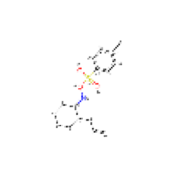 C=CCC1CCCC/C1=N\OS(=O)(=O)c1ccc(C)cc1